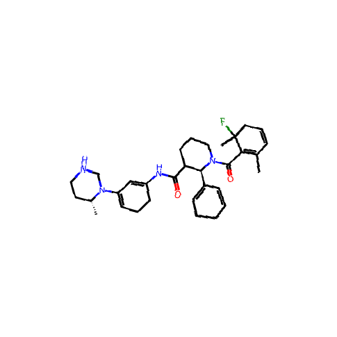 CC1=C(C(=O)N2CCCC(C(=O)NC3=CC(N4CNCC[C@H]4C)=CCC3)[C@@H]2C2=CCCC=C2)C(C)(F)CC=C1